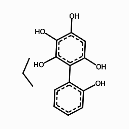 CCC.Oc1ccccc1-c1c(O)cc(O)c(O)c1O